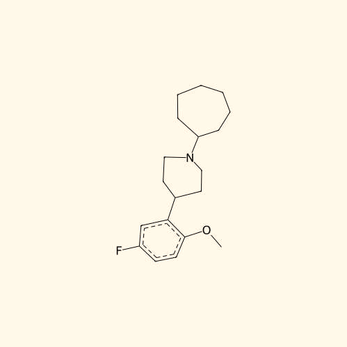 COc1ccc(F)cc1C1CCN(C2CCCCCC2)CC1